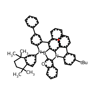 CC(C)(C)c1ccc(N2c3cc4ccccc4c4c3B(c3oc5ccccc5c32)N(c2ccc3c(c2)C(C)(C)CCC3(C)C)c2ccc(-c3ccccc3)cc2-4)c(-c2ccccc2)c1